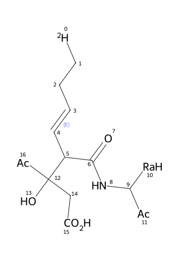 [2H]CC/C=C/C(C(=O)N[CH]([RaH])C(C)=O)C(O)(CC(=O)O)C(C)=O